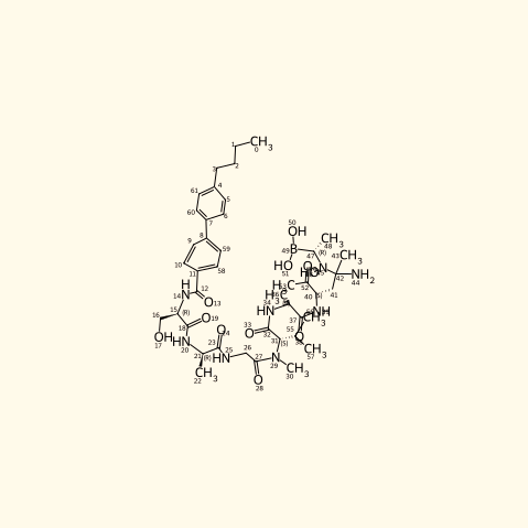 CCCCc1ccc(-c2ccc(C(=O)N[C@H](CO)C(=O)N[C@H](C)C(=O)NCC(=O)N(C)[C@H](C(=O)N[C@@H](C)C(=O)N[C@@H](CC(C)(N)N(O)[C@@H](C)B(O)O)C(C)=O)C(C)C)cc2)cc1